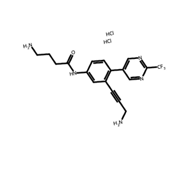 Cl.Cl.NCC#Cc1cc(NC(=O)CCCN)ccc1-c1cnc(C(F)(F)F)nc1